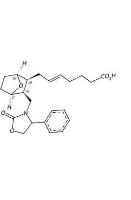 O=C(O)CCCC=CC[C@H]1[C@@H](CN2C(=O)OCC2c2ccccc2)[C@H]2CC[C@@H]1O2